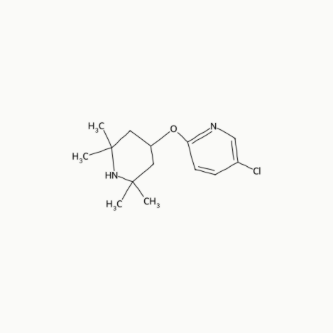 CC1(C)CC(Oc2ccc(Cl)cn2)CC(C)(C)N1